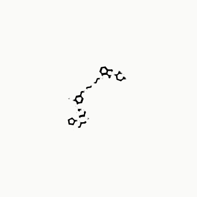 CCC1C(=O)N(C)c2cnc(Nc3ccc(C(=O)NCCOCCNc4cccc5c4C(=O)N(C4CCC(=O)NC4=O)C5=O)cc3OC)nc2N1C1CCCC1